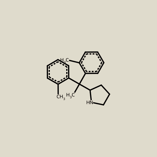 Cc1ccccc1C(C)(c1ccccc1C)C1CCCN1